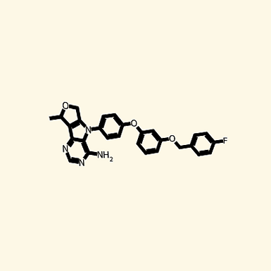 CC1OCc2c1c1ncnc(N)c1n2-c1ccc(Oc2cccc(OCc3ccc(F)cc3)c2)cc1